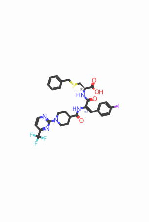 O=C(N[C@@H](CSCc1ccccc1)C(=O)O)/C(=C\c1ccc(I)cc1)NC(=O)C1CCN(c2nccc(C(F)(F)F)n2)CC1